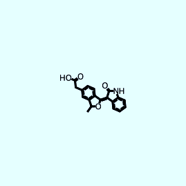 CC1OC(=C2C(=O)Nc3ccccc32)c2ccc(CC(=O)O)cc21